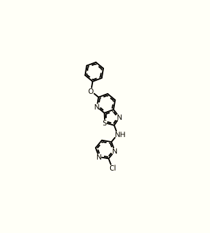 Clc1nccc(Nc2nc3ccc(Oc4ccccc4)nc3s2)n1